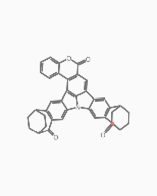 O=C1c2cc3c(cc2C2CCC1CC2)c1cc2c(=O)oc4ccccc4c2c2c4cc5c(cc4n3c12)C(=O)C1CCC5CC1